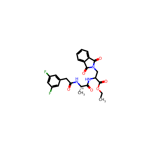 CCOC(=O)C(CN1C(=O)c2ccccc2C1=O)NC(=O)[C@H](C)NC(=O)Cc1cc(F)cc(F)c1